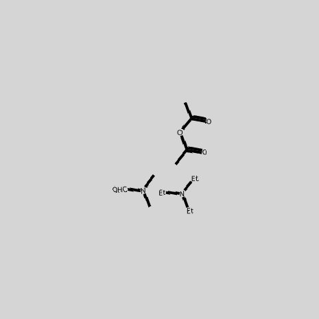 CC(=O)OC(C)=O.CCN(CC)CC.CN(C)C=O